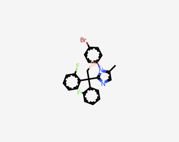 BCC(c1ccccc1F)(c1ccccc1F)c1ncc(C)n1-c1ccc(Br)cc1